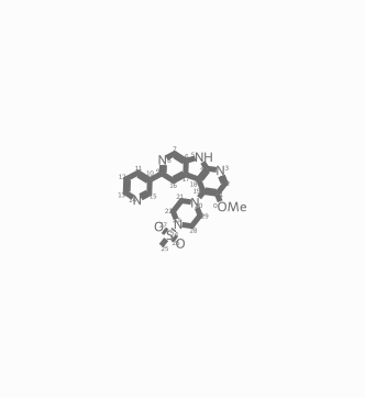 COc1cnc2[nH]c3cnc(-c4cccnc4)cc3c2c1N1CCN(S(C)(=O)=O)CC1